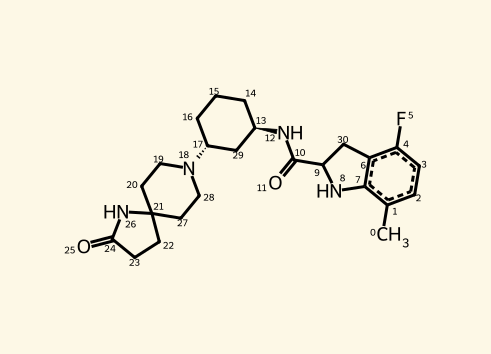 Cc1ccc(F)c2c1NC(C(=O)N[C@@H]1CCC[C@@H](N3CCC4(CCC(=O)N4)CC3)C1)C2